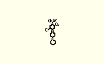 COc1cc(N2CCC(N3CCCCC3)CC2)c(Cl)cc1[N+](=O)[O-]